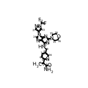 C=C(C(N)=O)c1ccc(CNc2nc(N3CCOCC3)nc3c2ncn3-c2cnn(C(F)F)c2)cn1